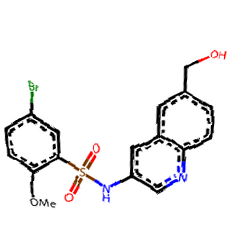 COc1ccc(Br)cc1S(=O)(=O)Nc1cnc2ccc(CO)cc2c1